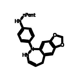 CCCCCNc1ccc(N2NC=CCc3cc4c(cc32)OCO4)cc1